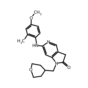 COc1ccc(Nc2cc3c(cn2)CC(=O)N3CC2CCOCC2)c(C)c1